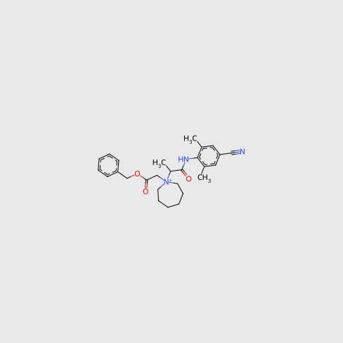 Cc1cc(C#N)cc(C)c1NC(=O)C(C)[N+]1(CC(=O)OCc2ccccc2)CCCCCC1